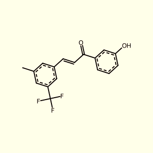 Cc1cc(/C=C/C(=O)c2cccc(O)c2)cc(C(F)(F)F)c1